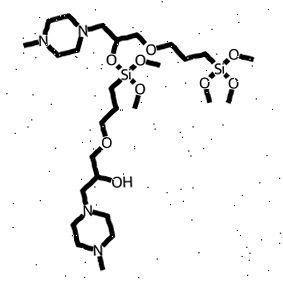 CO[Si](CCCOCC(CN1CCN(C)CC1)O[Si](CCCOCC(O)CN1CCN(C)CC1)(OC)OC)(OC)OC